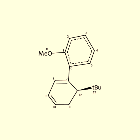 COc1ccccc1C1=CC=CC[C@@H]1C(C)(C)C